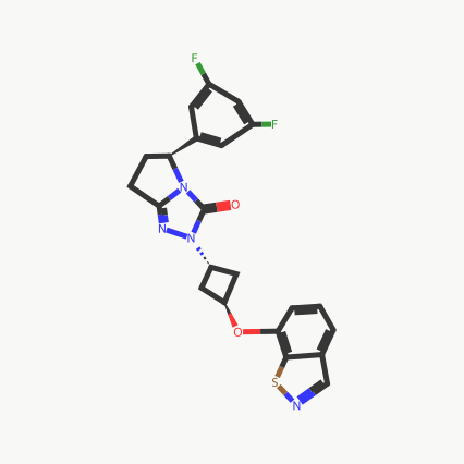 O=c1n2c(nn1[C@H]1C[C@H](Oc3cccc4cnsc34)C1)CC[C@H]2c1cc(F)cc(F)c1